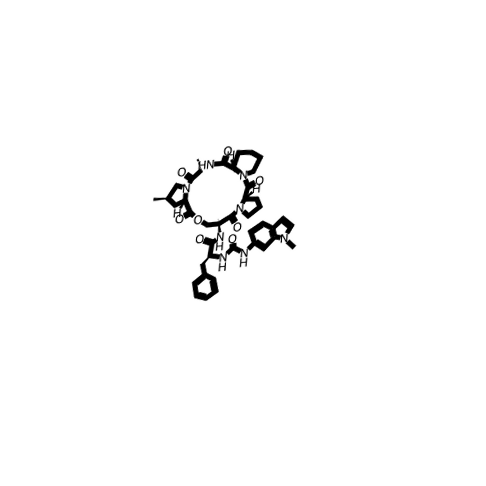 C[C@@H]1C[C@H]2C(=O)OC[C@H](NC(=O)[C@H](Cc3ccccc3)NC(=O)Nc3ccc4ccn(C)c4c3)C(=O)N3CCC[C@H]3C(=O)N3CCCC[C@H]3C(=O)N[C@@H](C)C(=O)N2C1